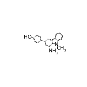 Cn1c2ccccc2c2cc(-c3ccc(O)cc3)cc(N)c21